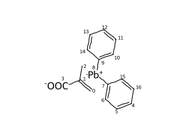 C=C(C)C(=O)[O-].c1cc[c]([Pb+][c]2ccccc2)cc1